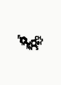 CC1Cn2c(nnc2-c2ccc(F)cn2)C(=S)N1